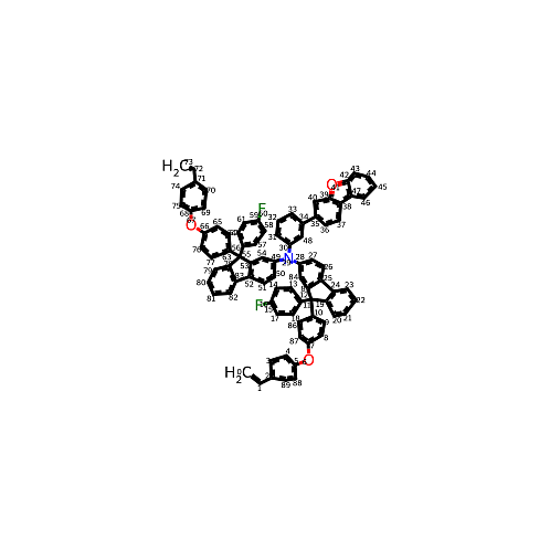 C=Cc1ccc(Oc2ccc(C3(c4ccc(F)cc4)c4ccccc4-c4ccc(N(c5cccc(-c6ccc7c(c6)oc6ccccc67)c5)c5ccc6c(c5)C(c5ccc(F)cc5)(c5ccc(Oc7ccc(C=C)cc7)cc5)c5ccccc5-6)cc43)cc2)cc1